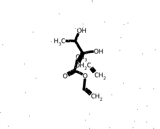 C=C.C=COC(C)=O.CC(O)C(=O)O